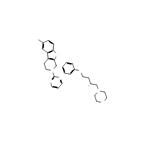 O[C@@H](CCOc1ccc([C@H]2c3[nH]c4ccc(Cl)cc4c3CCN2c2ncccn2)cc1)CN1CCOCC1